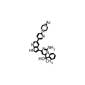 CC(=O)N1CCN(c2ccc(-c3cnc4[nH]cc(-c5cc(C(C)(O)c6ccccc6)nc(N)n5)c4c3)cn2)CC1